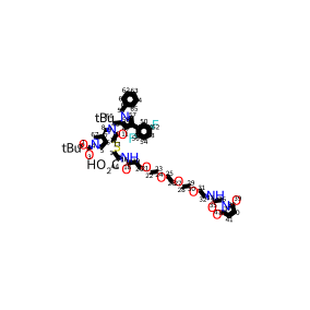 CC(C)(C)OC(=O)N1CC[C@H](CN(C(=O)CSC[C@H](NC(=O)CCOCCOCCOCCOCCNC(=O)CN2C(=O)C=CC2=O)C(=O)O)[C@@H](c2cc(-c3cc(F)ccc3F)cn2Cc2ccccc2)C(C)(C)C)C1